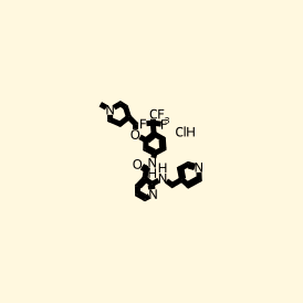 CN1CCC(COc2cc(NC(=O)c3cccnc3NCc3ccncc3)ccc2C(F)(F)C(F)(F)F)CC1.Cl